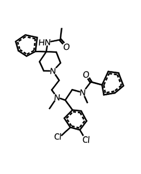 CC(=O)NC1(c2ccccc2)CCN(CCN(C)C(CN(C)C(=O)c2ccccc2)c2ccc(Cl)c(Cl)c2)CC1